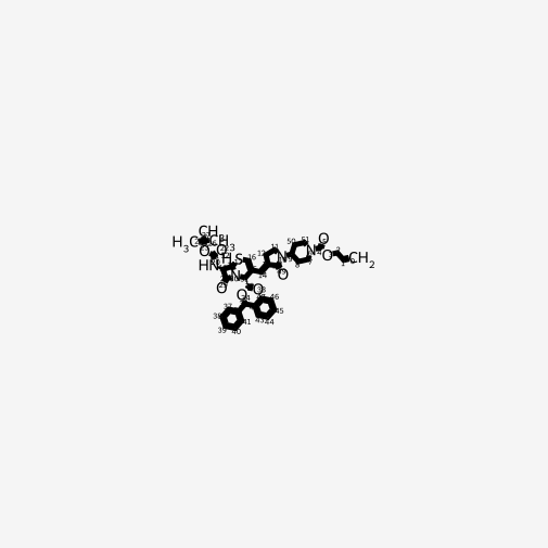 C=CCOC(=O)N1CCC(N2CC/C(=C\C3=CS[C@@H]4[C@H](NC(=O)OC(C)(C)C)C(=O)N4[C@H]3C(=O)OC(c3ccccc3)c3ccccc3)C2=O)CC1